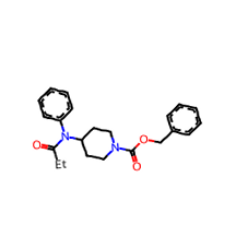 CCC(=O)N(c1ccccc1)C1CCN(C(=O)OCc2ccccc2)CC1